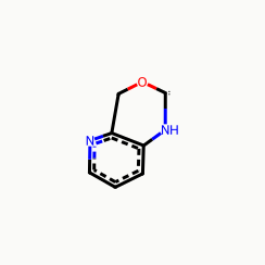 [C]1Nc2cccnc2CO1